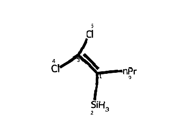 CCCC([SiH3])=C(Cl)Cl